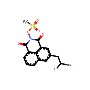 CCCCC(CC)Cc1cc2c3c(cccc3c1)C(=O)N(OS(=O)(=O)C(F)(F)F)C2=O